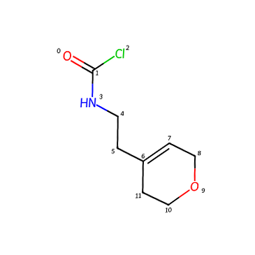 O=C(Cl)NCCC1=CCOCC1